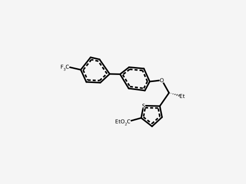 CCOC(=O)c1ccc([C@@H](CC)Oc2ccc(-c3ccc(C(F)(F)F)cc3)cc2)s1